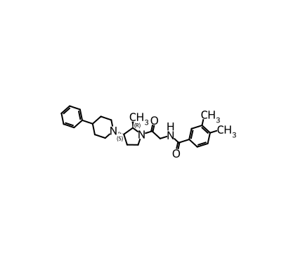 Cc1ccc(C(=O)NCC(=O)N2CC[C@H](N3CCC(c4ccccc4)CC3)[C@H]2C)cc1C